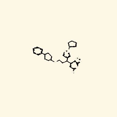 Nc1cc(C(CCNC2CCC(c3ccccc3)CC2)c2cnn(C3CCCC3)c2)c2nn[nH]c2n1